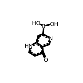 O=c1cc[nH]c2cc(B(O)O)ncc12